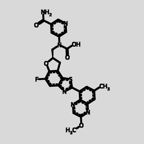 COc1cnc2c(-c3nc4cc(F)c5c(c4s3)C[C@H](CN(C(=O)O)c3cncc(C(N)=O)c3)O5)cc(C)cc2n1